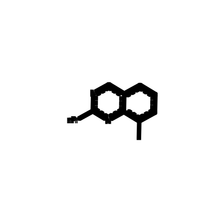 CCCc1ncc2cccc(C)c2n1